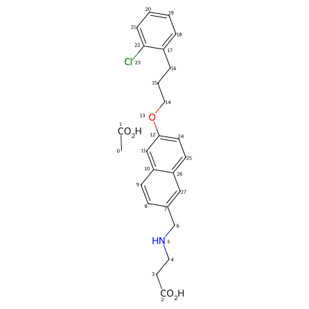 CC(=O)O.O=C(O)CCNCc1ccc2cc(OCCCc3ccccc3Cl)ccc2c1